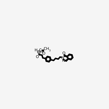 CC(C)OC(Cc1ccc(CCCCn2ncc3ccccc3c2=O)cc1)C(=O)O